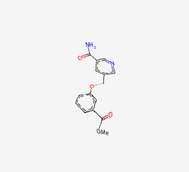 COC(=O)c1cccc(OCc2cncc(C(N)=O)c2)c1